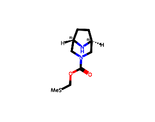 CSCOC(=O)N1C[C@@H]2CC[C@@H](C1)N2